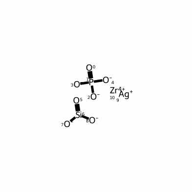 O=P([O-])([O-])[O-].O=[Si]([O-])[O-].[Ag+].[Zr+4]